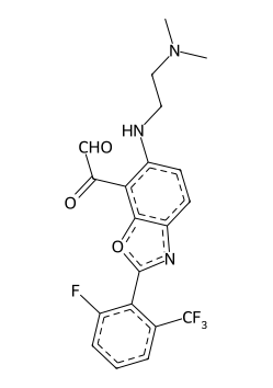 CN(C)CCNc1ccc2nc(-c3c(F)cccc3C(F)(F)F)oc2c1C(=O)C=O